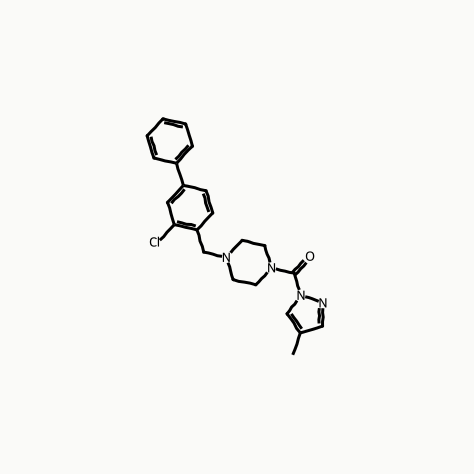 Cc1cnn(C(=O)N2CCN(Cc3ccc(-c4ccccc4)cc3Cl)CC2)c1